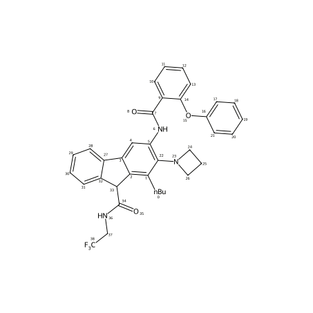 CCCCc1c2c(cc(NC(=O)c3ccccc3Oc3ccccc3)c1N1CCC1)-c1ccccc1C2C(=O)NCC(F)(F)F